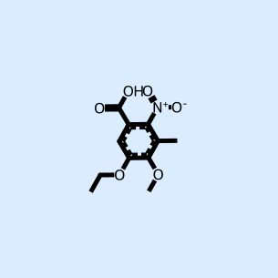 CCOc1cc(C(=O)O)c([N+](=O)[O-])c(C)c1OC